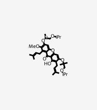 COc1c(ON(C)COC(C)C)cc2oc3cc(OC(C)(C)COC(C)C)c(CC=C(C)C)c(O)c3c(=O)c2c1CC=C(C)C